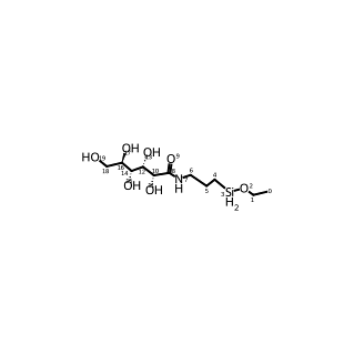 CCO[SiH2]CCCNC(=O)[C@H](O)[C@@H](O)[C@H](O)[C@H](O)CO